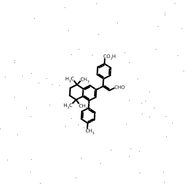 Cc1ccc(-c2cc(C(=CC=O)c3ccc(C(=O)O)cc3)cc3c2C(C)(C)CCC3(C)C)cc1